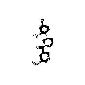 CNc1cc(C(=O)N2CCC[C@@H](c3ccc(Cl)cc3C)C2)cnn1